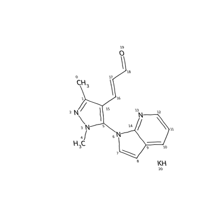 Cc1nn(C)c(-n2ccc3cccnc32)c1/C=C/C=O.[KH]